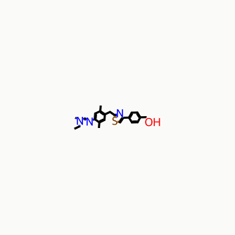 CCN(C)/C=N/c1cc(C)c(Cc2nc(-c3ccc(CO)cc3)cs2)cc1C